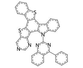 c1ccc(-c2nc(-n3c4ccccc4c4c5sc6ccccc6c5c5sc6cncnc6c5c43)nc3ccccc23)cc1